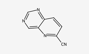 N#Cc1ccc2ncncc2n1